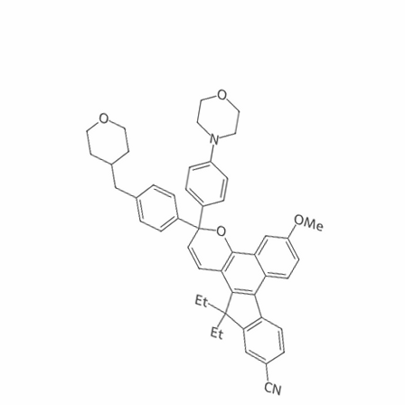 CCC1(CC)c2cc(C#N)ccc2-c2c1c1c(c3cc(OC)ccc23)OC(c2ccc(CC3CCOCC3)cc2)(c2ccc(N3CCOCC3)cc2)C=C1